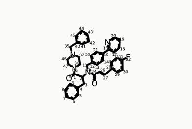 O=C(C(Cc1ccccc1)N(Cc1ccc(-c2ccccn2)cc1)C(=O)C=Cc1ccc(F)cc1)N1CCN(Cc2ccccc2)CC1